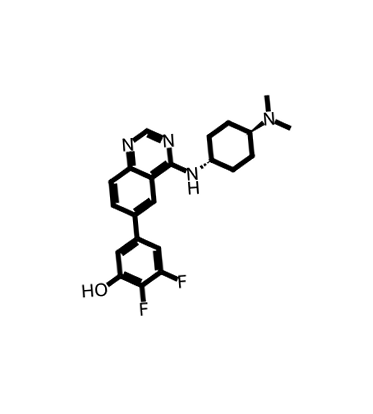 CN(C)[C@H]1CC[C@H](Nc2ncnc3ccc(-c4cc(O)c(F)c(F)c4)cc23)CC1